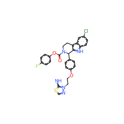 N=c1scnn1CCOc1ccc(C2c3[nH]c4ccc(Cl)cc4c3CCN2C(=O)Oc2ccc(F)cc2)cc1